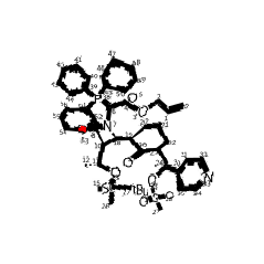 C=CCOC(=O)C(N1C(=O)[C@H]([C@@H](C)O[Si](C)(C)C(C)(C)C)[C@H]1[C@H]1CCCC(C(OS(C)(=O)=O)c2ccncc2)C1=O)=P(c1ccccc1)(c1ccccc1)c1ccccc1